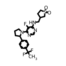 CC(F)(F)c1ccc(C2CCCN2c2ncnc(NCC3CCS(=O)(=O)C3)c2F)cc1